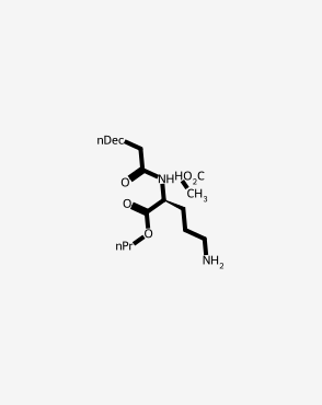 CC(=O)O.CCCCCCCCCCCC(=O)N[C@@H](CCCN)C(=O)OCCC